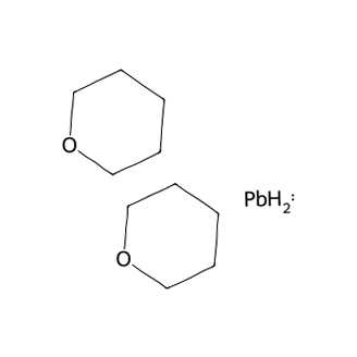 C1CCOCC1.C1CCOCC1.[PbH2]